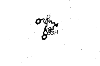 O=C1N(Cc2ccccc2)C[C@H](C=CC(O)Cc2ccccc2)N1CCCC1(CCP(=O)(O)O)CC1